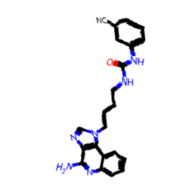 N#Cc1cccc(NC(=O)NCCCCn2cnc3c(N)nc4ccccc4c32)c1